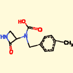 Cc1ccc(CN(C(=O)O)C2CNC2=O)cc1